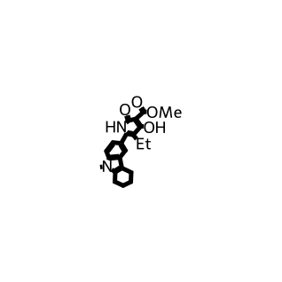 CCc1c(-c2ccc3c(c2)c2c(n3C)CCCC2)[nH]c(=O)c(C(=O)OC)c1O